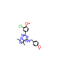 COc1ccc(CNc2nc(-c3ccc(OC)c(Cl)c3)nn3c(C)nc(C)c23)cc1